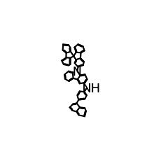 c1ccc2c(c1)-c1ccccc1C21c2ccccc2-c2ccc(-n3c4ccccc4c4cc(Nc5ccc(-c6cccc7ccccc67)cc5)ccc43)cc21